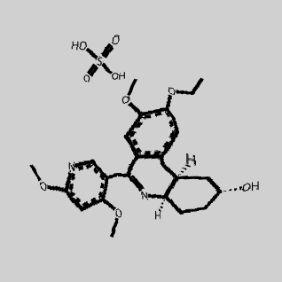 CCOc1cc2c(cc1OC)C(c1cnc(OC)cc1OC)=N[C@@H]1CC[C@@H](O)C[C@H]21.O=S(=O)(O)O